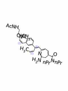 C/C=C\C(=C/C1=CC=C(C(=O)N(CCC)CCC)CC(N)=N1)c1ccc(C=O)c(/C=C\N(C)CCNC(C)=O)c1